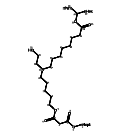 CCCCCCCOC(=O)CC(=O)OCCCCCN(CCO)CCCCCCCC(=O)OC(CCCCC)CCCCCC